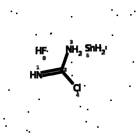 F.N=C(N)Cl.[SnH2]